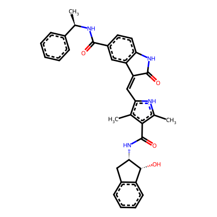 Cc1[nH]c(/C=C2\C(=O)Nc3ccc(C(=O)N[C@H](C)c4ccccc4)cc32)c(C)c1C(=O)N[C@H]1Cc2ccccc2[C@H]1O